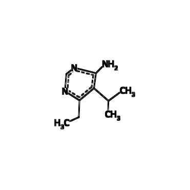 CCc1ncnc(N)c1C(C)C